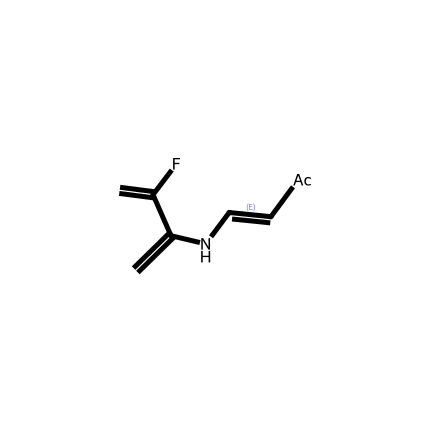 C=C(F)C(=C)N/C=C/C(C)=O